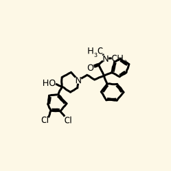 CN(C)C(=O)C(CCN1CCC(O)(c2ccc(Cl)c(Cl)c2)CC1)(c1ccccc1)c1ccccc1